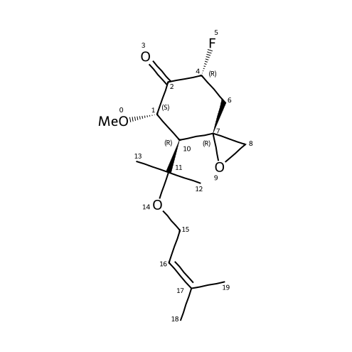 CO[C@@H]1C(=O)[C@H](F)C[C@]2(CO2)[C@H]1C(C)(C)OCC=C(C)C